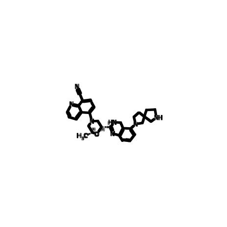 C[C@@H]1CN(c2ccc(C#N)c3ncccc23)C[C@H](C2=Nc3cccc(N4CCC5(CCNC5)C4)c3CN2)O1